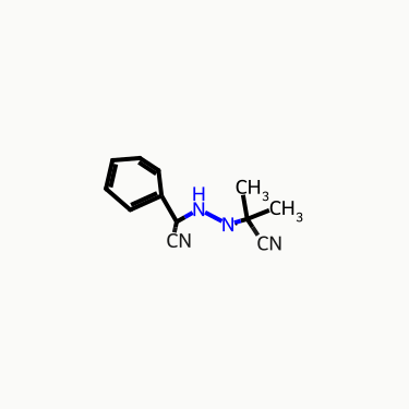 CC(C)(C#N)[N]NC(C#N)c1ccccc1